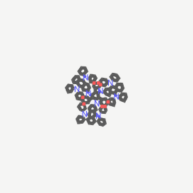 C1=CCC(N(c2ccccc2)c2c3ccccc3c(N(c3ccccc3)C3C=CC=CC3)c3cc(-n4c5ccccc5c5c6c(c7ccccc7n6-c6ccc7c(N(c8ccccc8)c8ccccc8)c8ccccc8c(N(c8ccccc8)c8ccccc8)c7c6)c6c(c7ccccc7n6-c6ccc7c(N(c8ccccc8)c8ccccc8)c8ccccc8c(N(c8ccccc8)c8ccccc8)c7c6)c54)ccc23)C=C1